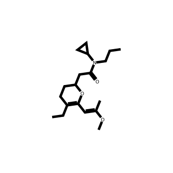 CCCN(C(=O)CC1CCC(CC)=C(/C=C(\C)OC)O1)C1CC1